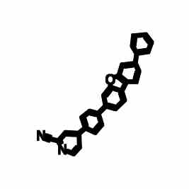 N#Cc1cc(-c2ccc(-c3ccc4c(c3)oc3cc(-c5ccccc5)ccc34)cc2)ccn1